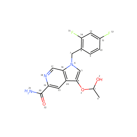 CC(O)Oc1cn(Cc2ccc(F)cc2F)c2cnc(C(N)=O)cc12